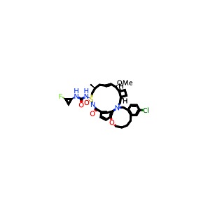 CO[C@H]1/C=C/C[C@H](C)C[S@@](=O)(NC(=O)N[C@H]2C[C@H]2F)=NC(=O)c2ccc3c(c2)N(Cc2ccc(Cl)cc2CCCCO3)C[C@@H]2CC[C@H]21